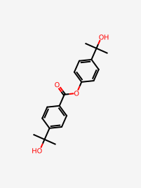 CC(C)(O)c1ccc(OC(=O)c2ccc(C(C)(C)O)cc2)cc1